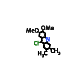 COc1cc2nc3cc(C)c(C)cc3c(Cl)c2cc1OC